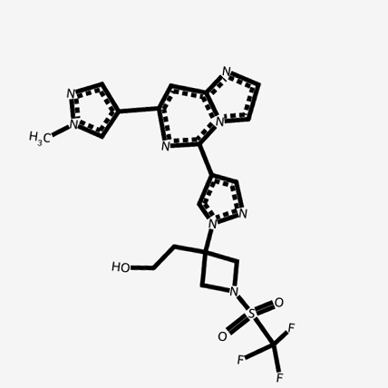 Cn1cc(-c2cc3nccn3c(-c3cnn(C4(CCO)CN(S(=O)(=O)C(F)(F)F)C4)c3)n2)cn1